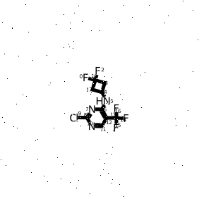 FC1(F)CC(Nc2nc(Cl)ncc2C(F)(F)F)C1